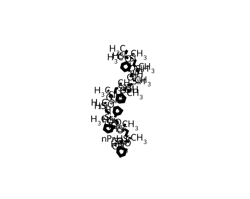 C=C[SiH](C)O[SiH](C)CC[SiH](C)O[SiH](O[SiH](C)CC[SiH](C)O[SiH](C)CC[SiH](C)O[SiH](O[SiH](C)CC[SiH](C)O[SiH](O[SiH](O[SiH](C)CC[SiH](C)O[SiH](O[SiH](C)CCC)c1ccccc1)c1ccccc1)c1ccccc1)c1ccccc1)c1ccccc1